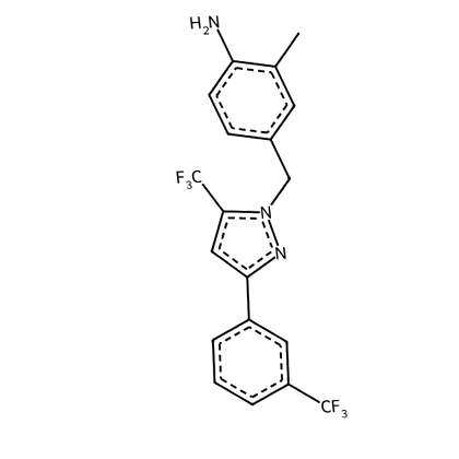 Cc1cc(Cn2nc(-c3cccc(C(F)(F)F)c3)cc2C(F)(F)F)ccc1N